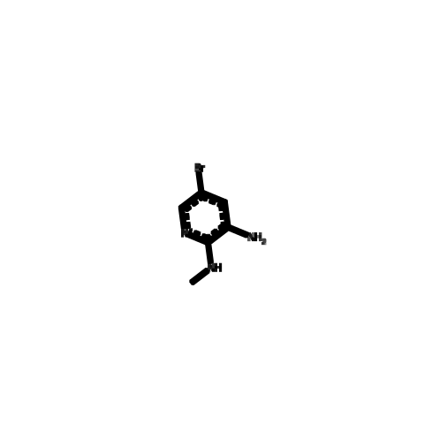 CNc1ncc(Br)cc1N